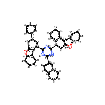 c1ccc(-c2cc(-c3nc(-c4ccc5ccccc5c4)nc(-c4cc5oc6ccccc6c5c5ccccc45)n3)c3c(c2)oc2ccccc23)cc1